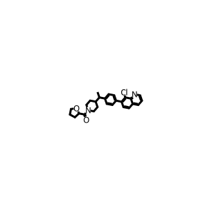 CC(c1ccc(-c2ccc3cccnc3c2Cl)cc1)C1CCN(C(=O)C2CCCO2)CC1